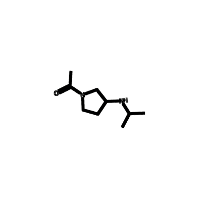 CC(=O)N1CCC(NC(C)C)C1